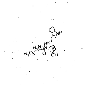 CSCC[C@H](N)C(=O)N[C@@H](CC(=O)O)C(=O)NCCc1c[nH]c2ccccc12